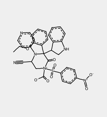 CCOc1ccccc1C1(C2CNc3ccccc32)C(=O)[N+](C(=O)[O-])(S(=O)(=O)c2ccc([N+](=O)[O-])cc2)CC(C#N)N1c1ccncc1